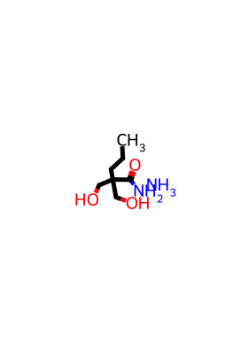 CCCC(CO)(CO)C(N)=O.N